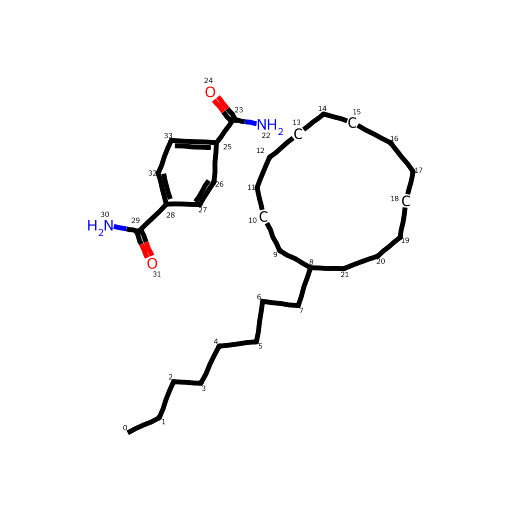 CCCCCCCCC1CCCCCCCCCCCCC1.NC(=O)c1ccc(C(N)=O)cc1